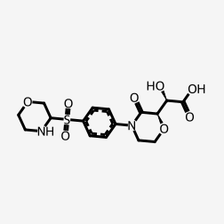 O=C(O)[C@H](O)[C@H]1OCCN(c2ccc(S(=O)(=O)C3COCCN3)cc2)C1=O